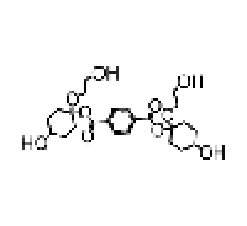 O=C(OC1(OCCO)CCC(O)CC1)c1ccc(C(=O)OC2(OCCO)CCC(O)CC2)cc1